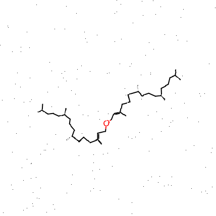 C/C(=C\COC/C=C(\C)CCC[C@H](C)CCC[C@H](C)CCCC(C)C)CCC[C@H](C)CCC[C@H](C)CCCC(C)C